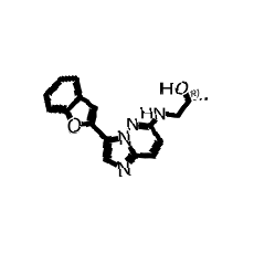 C[C@@H](O)CNc1ccc2ncc(-c3cc4ccccc4o3)n2n1